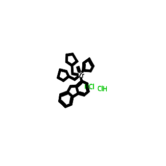 Cl.Cl.[CH2]=[Zr]([CH2]C1CCCC1)([CH2]C1CCCC1)([C]1=CC=CC1)[c]1cccc2c1Cc1ccccc1-2